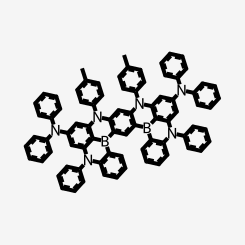 Cc1ccc(N2c3cc4c(cc3B3c5ccccc5N(c5ccccc5)c5cc(N(c6ccccc6)c6ccccc6)cc2c53)B2c3ccccc3N(c3ccccc3)c3cc(N(c5ccccc5)c5ccccc5)cc(c32)N4c2ccc(C)cc2)cc1